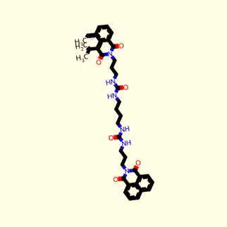 C=C(C)C1=c2c(ccc/c2=C/C)C(=O)N(CCCNC(=O)NCCCCNC(=O)NCCCN2C(=O)c3cccc4cccc(c34)C2=O)C1=O